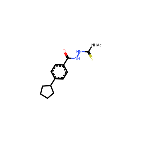 CC(=O)NC(=S)NNC(=O)c1ccc(C2CCCC2)cc1